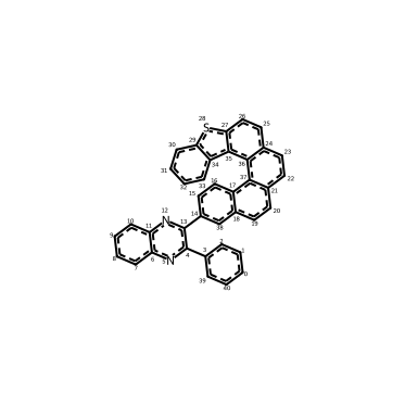 c1ccc(-c2nc3ccccc3nc2-c2ccc3c(ccc4ccc5ccc6sc7ccccc7c6c5c43)c2)cc1